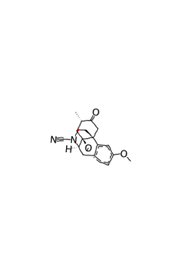 COc1ccc2c(c1)[C@]13CCN(C#N)[C@H](C2)[C@]1(OC)C[C@H](C)C(=O)C3